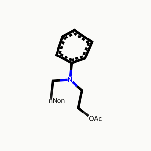 CCCCCCCCCCN(CCOC(C)=O)c1ccccc1